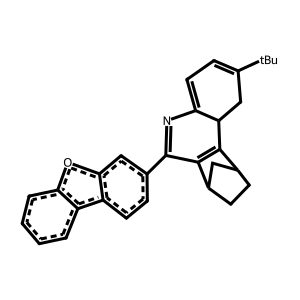 CC(C)(C)C1=CC=C2N=C(c3ccc4c(c3)oc3ccccc34)C3=C(C4CCC3C4)C2C1